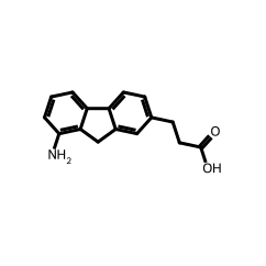 Nc1cccc2c1Cc1cc(CCC(=O)O)ccc1-2